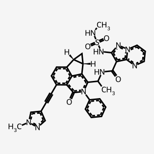 CNS(=O)(=O)Nc1nn2cccnc2c1C(=O)NC(C)c1c2c3c(ccc(C#Cc4cnn(C)c4)c3c(=O)n1-c1ccccc1)[C@@H]1C[C@H]21